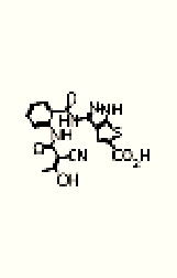 C/C(O)=C(/C#N)C(=O)Nc1ccccc1C(=O)Nc1n[nH]c2sc(C(=O)O)cc12